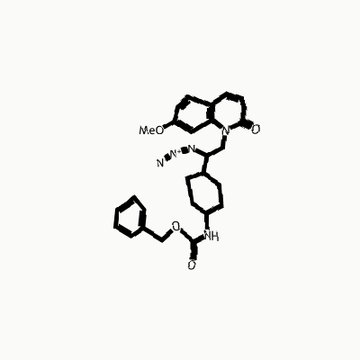 COc1ccc2ccc(=O)n(CC(N=[N+]=[N-])C3CCC(NC(=O)OCc4ccccc4)CC3)c2c1